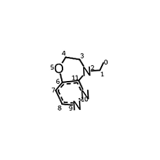 CCN1CCOc2ccnnc21